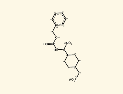 O=C(O)CC1CCC(C(NC(=O)OCc2ccccc2)[N+](=O)[O-])CC1